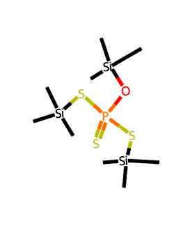 C[Si](C)(C)OP(=S)(S[Si](C)(C)C)S[Si](C)(C)C